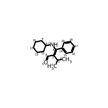 CC(C)C(C=O)=C(NC1CCCCC1)c1ccccc1